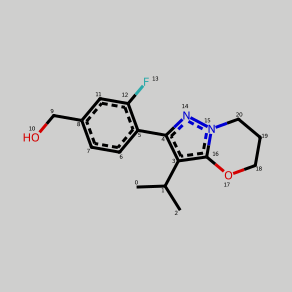 CC(C)c1c(-c2ccc(CO)cc2F)nn2c1OCCC2